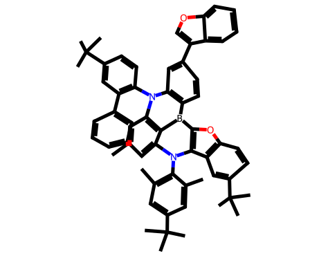 Cc1cc2c3c(c1)N(c1c(C)cc(C(C)(C)C)cc1C)c1c(oc4ccc(C(C)(C)C)cc14)B3c1ccc(-c3coc4ccccc34)cc1N2c1ccc(C(C)(C)C)cc1-c1ccccc1